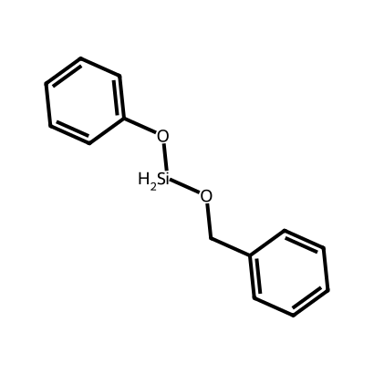 c1ccc(CO[SiH2]Oc2ccccc2)cc1